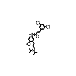 COc1ccc(NC(=O)C=Cc2cc(Cl)cc(Cl)c2)cc1CCCN(C(C)C)C(C)C